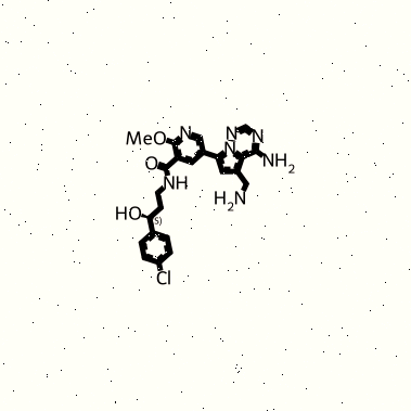 COc1ncc(-c2cc(CN)c3c(N)ncnn23)cc1C(=O)NCC[C@H](O)c1ccc(Cl)cc1